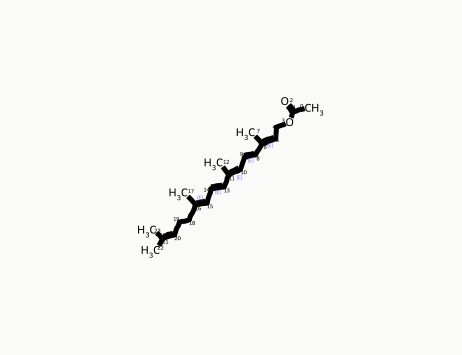 CC(=O)OC/C=C(C)/C=C/C=C(C)/C=C/C=C(\C)CCC=C(C)C